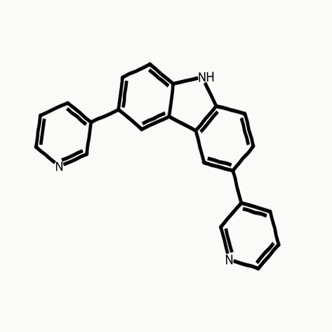 c1cncc(-c2ccc3[nH]c4ccc(-c5cccnc5)cc4c3c2)c1